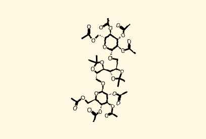 CC(=O)OC[C@H]1O[C@@H](OC[C@@H]2OC(C)(C)O[C@H]2[C@H]2OC(C)(C)O[C@@H]2CO[C@@H]2O[C@H](COC(C)=O)[C@@H](OC(C)=O)[C@H](OC(C)=O)[C@H]2OC(C)=O)[C@H](OC(C)=O)[C@@H](OC(C)=O)[C@@H]1OC(C)=O